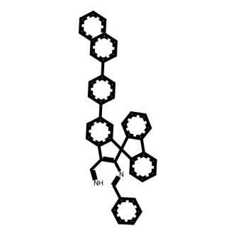 N=CC1=C(/N=C/c2ccccc2)C2(c3cc(-c4ccc(-c5ccc6ccccc6c5)cc4)ccc31)c1ccccc1-c1ccccc12